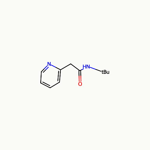 CC(C)(C)NC(=O)Cc1ccccn1